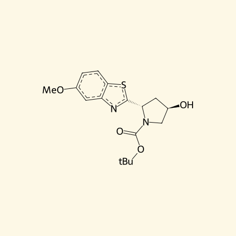 COc1ccc2sc([C@@H]3C[C@@H](O)CN3C(=O)OC(C)(C)C)nc2c1